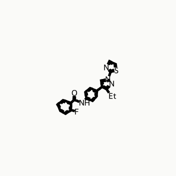 CCc1nn(-c2nccs2)cc1-c1ccc(NC(=O)c2ccccc2F)cc1